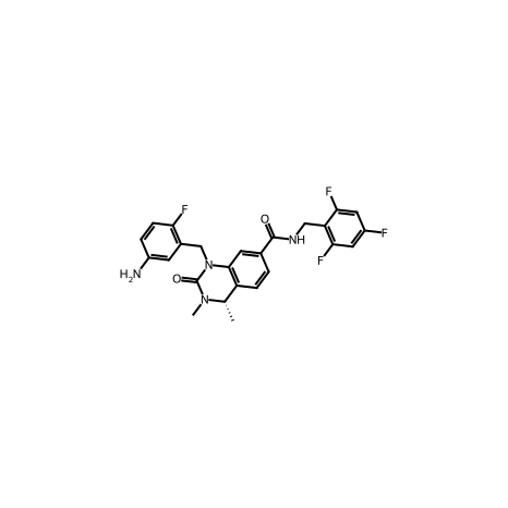 C[C@H]1c2ccc(C(=O)NCc3c(F)cc(F)cc3F)cc2N(Cc2cc(N)ccc2F)C(=O)N1C